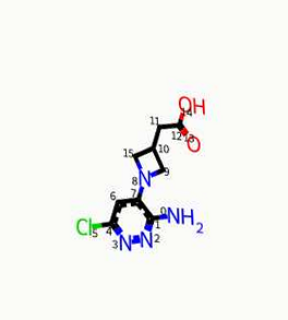 Nc1nnc(Cl)cc1N1CC(CC(=O)O)C1